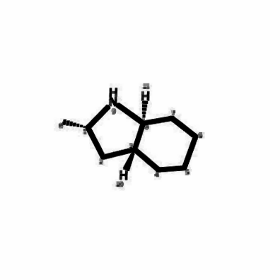 C[C@H]1C[C@H]2CCCC[C@@H]2N1